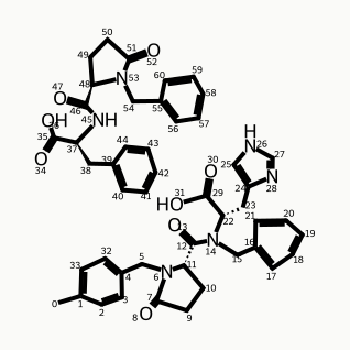 Cc1ccc(CN2C(=O)CC[C@H]2C(=O)N(Cc2ccccc2)[C@@H](Cc2c[nH]cn2)C(=O)O)cc1.O=C(O)[C@H](Cc1ccccc1)NC(=O)[C@H]1CCC(=O)N1Cc1ccccc1